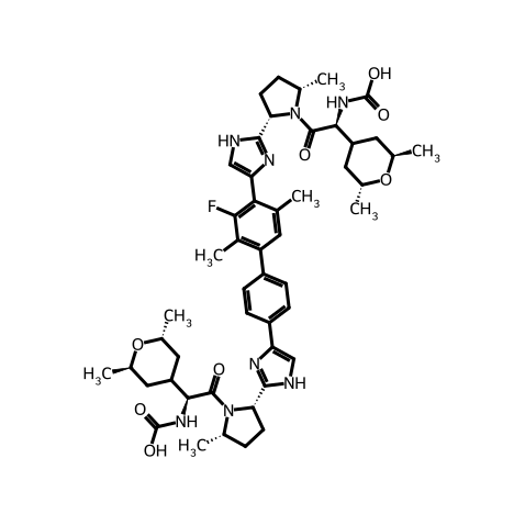 Cc1cc(-c2ccc(-c3c[nH]c([C@@H]4CC[C@H](C)N4C(=O)[C@@H](NC(=O)O)C4C[C@@H](C)O[C@H](C)C4)n3)cc2)c(C)c(F)c1-c1c[nH]c([C@@H]2CC[C@H](C)N2C(=O)[C@@H](NC(=O)O)C2C[C@@H](C)O[C@H](C)C2)n1